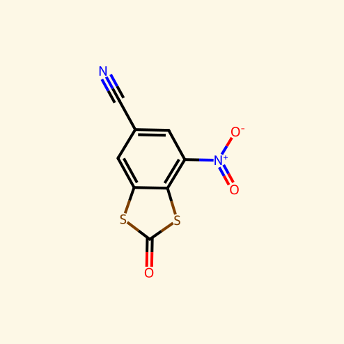 N#Cc1cc([N+](=O)[O-])c2sc(=O)sc2c1